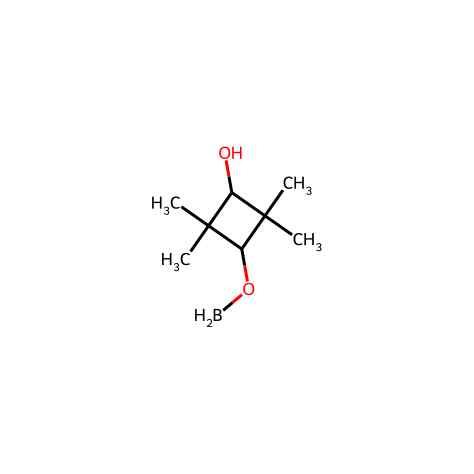 BOC1C(C)(C)C(O)C1(C)C